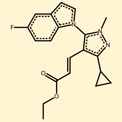 CCOC(=O)/C=C/c1c(C2CC2)nn(C)c1-n1ccc2cc(F)ccc21